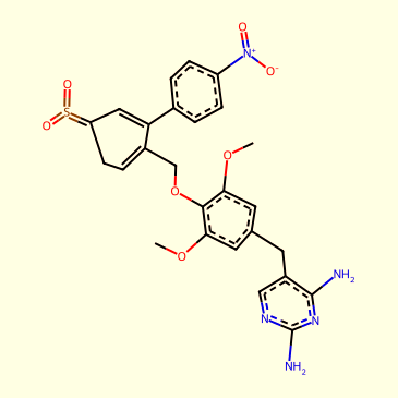 COc1cc(Cc2cnc(N)nc2N)cc(OC)c1OCC1=CCC(=S(=O)=O)C=C1c1ccc([N+](=O)[O-])cc1